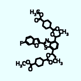 CCC(OC(=O)C1CCC(C(=O)OC)CC1)c1ccc(C(CC)OC(=O)C2CCC(C(=O)OC)CC2)c2sc(-c3cc4ccc(F)cc4o3)nc12